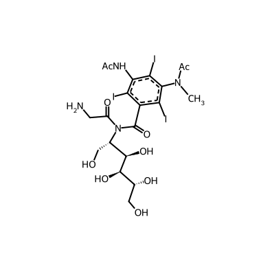 CC(=O)Nc1c(I)c(C(=O)N(C(=O)CN)[C@@H](CO)[C@@H](O)[C@H](O)[C@H](O)CO)c(I)c(N(C)C(C)=O)c1I